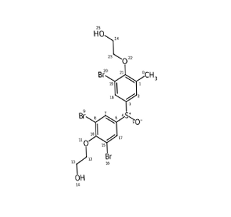 Cc1cc([S+]([O-])c2cc(Br)c(OCCO)c(Br)c2)cc(Br)c1OCCO